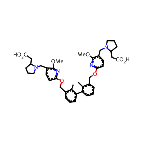 COc1nc(OCc2cccc(-c3cccc(COc4ccc(CN5CCCC5CC(=O)O)c(OC)n4)c3C)c2C)ccc1CN1CCCC1CC(=O)O